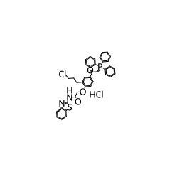 Cl.O=C(COc1ccc(C(=O)C=P(c2ccccc2)(c2ccccc2)c2ccccc2)cc1CCCCl)Nc1nc2ccccc2s1